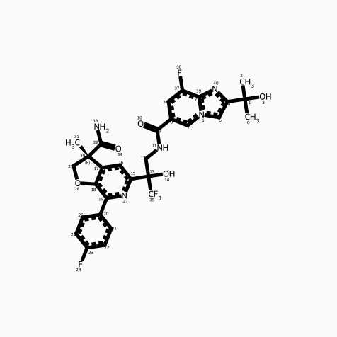 CC(C)(O)c1cn2cc(C(=O)NCC(O)(c3cc4c(c(-c5ccc(F)cc5)n3)OC[C@]4(C)C(N)=O)C(F)(F)F)cc(F)c2n1